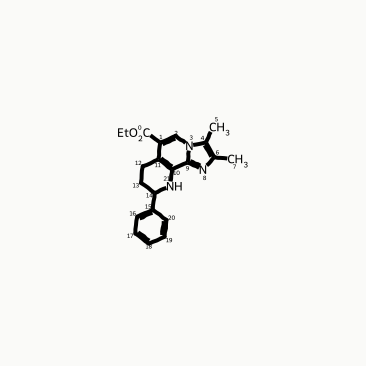 CCOC(=O)c1cn2c(C)c(C)nc2c2c1CCC(c1ccccc1)N2